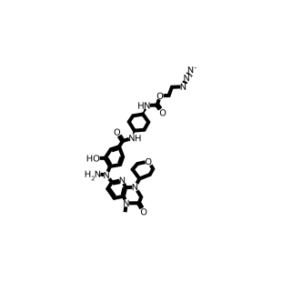 CN1C(=O)CN(C2CCOCC2)c2nc(N(N)c3ccc(C(=O)N[C@H]4CC[C@H](NC(=O)OCCN=[N+]=[N-])CC4)cc3O)ccc21